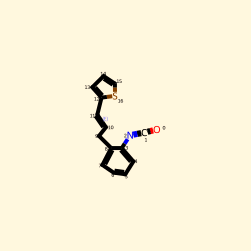 O=C=Nc1ccccc1C/C=C/c1cccs1